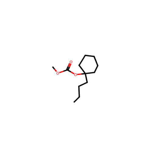 CCCCC1(OC(=O)OC)CCCCC1